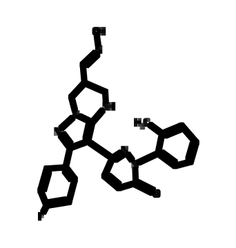 Cc1ccccc1-n1nc(-c2c(-c3ccc(F)cc3)nn3c2NCC(C=NO)C3)ccc1=O